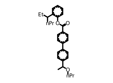 CCCOC(C)c1ccc(-c2ccc(C(=O)Oc3ccccc3C(CC)CCC)cc2)cc1